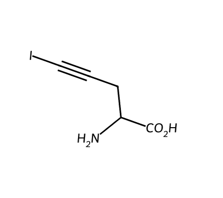 NC(CC#CI)C(=O)O